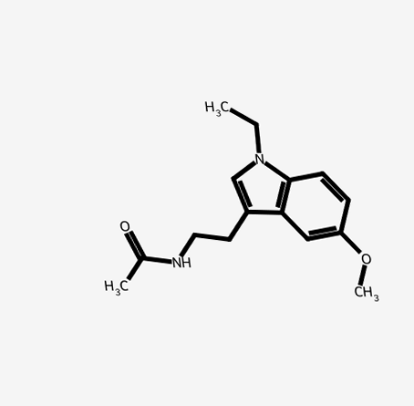 CCn1cc(CCNC(C)=O)c2cc(OC)ccc21